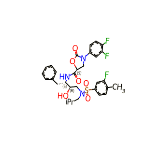 Cc1ccc(S(=O)(=O)N(CC(C)C)C[C@@H](O)[C@H](Cc2ccccc2)NC(=O)[C@@H]2CN(c3ccc(F)c(F)c3)C(=O)O2)cc1F